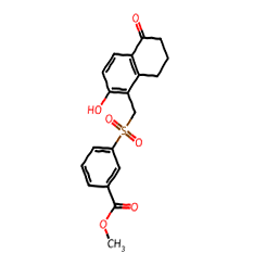 COC(=O)c1cccc(S(=O)(=O)Cc2c(O)ccc3c2CCCC3=O)c1